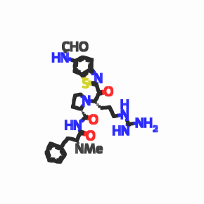 CN[C@H](Cc1ccccc1)C(=O)NC(=O)[C@@H]1CCCN1[C@@H](CCCNC(=N)N)C(=O)c1nc2ccc(NC=O)cc2s1